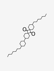 CCCCCCCC1CCC(C2CCC3(CC2)C(=O)C2(CCC(CCCCCCC)CC2)C3=O)CC1